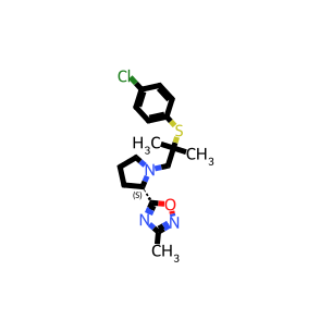 Cc1noc([C@@H]2CCCN2CC(C)(C)Sc2ccc(Cl)cc2)n1